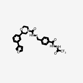 O=C(NNC(=O)C(F)(F)F)c1ccc(CSNC(=O)N2CCOC(c3cccc(-c4ccoc4)c3)C2)cc1